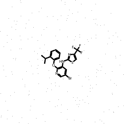 CC(C)c1ccccc1Oc1ncc(Br)cc1Nc1nc(C(F)(F)F)cs1